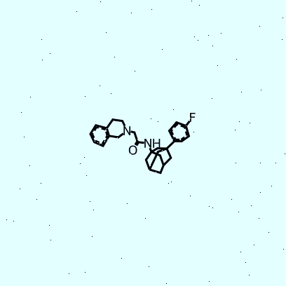 O=C(CN1CCc2ccccc2C1)NC12CC3CC(C1)CC(c1ccc(F)cc1)(C3)C2